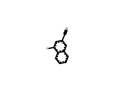 N#Cc1[c]c(F)c2ccccc2c1